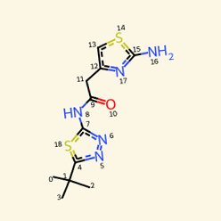 CC(C)(C)c1nnc(NC(=O)Cc2csc(N)n2)s1